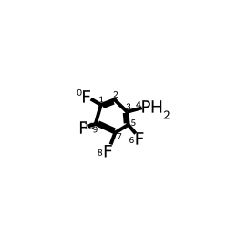 Fc1cc(P)c(F)c(F)c1F